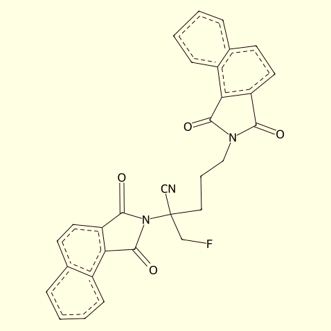 N#CC(CF)(CCCN1C(=O)c2ccc3ccccc3c2C1=O)N1C(=O)c2ccc3ccccc3c2C1=O